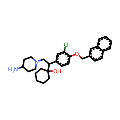 NC1CCN(CC(c2ccc(OCc3ccc4ccccc4c3)c(Cl)c2)C2(O)CCCCC2)CC1